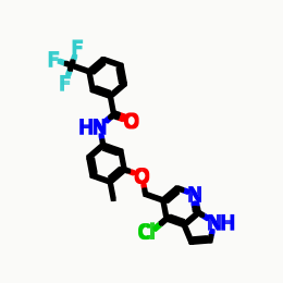 Cc1ccc(NC(=O)c2cccc(C(F)(F)F)c2)cc1OCc1cnc2[nH]ccc2c1Cl